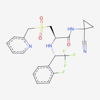 N#CC1(NC(=O)[C@H](CS(=O)(=O)Cc2ccccn2)N[C@@H](c2ccccc2F)C(F)(F)F)CC1